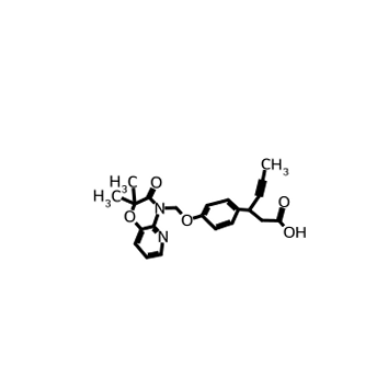 CC#CC(CC(=O)O)c1ccc(OCN2C(=O)C(C)(C)Oc3cccnc32)cc1